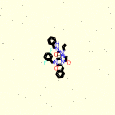 C=CCN(C(=O)NCc1ccccc1)N1CC(=O)N2[C@@H](Cc3ccccc3)C(=O)N(Cc3cc(F)ccc3F)C[C@@H]21